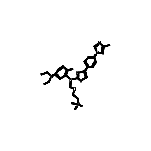 CCN(CC)c1ccc(C)c(N(COCC[Si](C)(C)C)c2nc(-c3ccc(-n4cnc(C)c4)cc3)cs2)c1